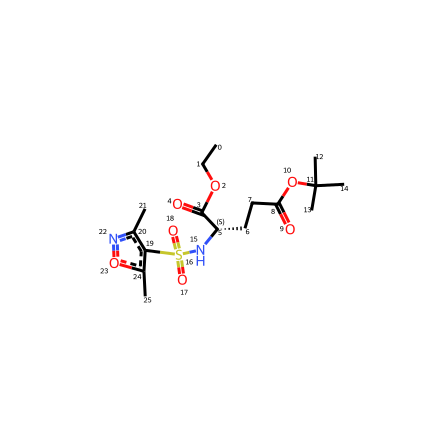 CCOC(=O)[C@H](CCC(=O)OC(C)(C)C)NS(=O)(=O)c1c(C)noc1C